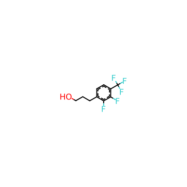 OCCCc1ccc(C(F)(F)F)c(F)c1F